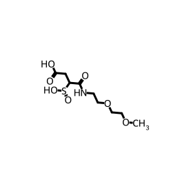 COCCOCCNC(=O)C(CC(=O)O)S(=O)O